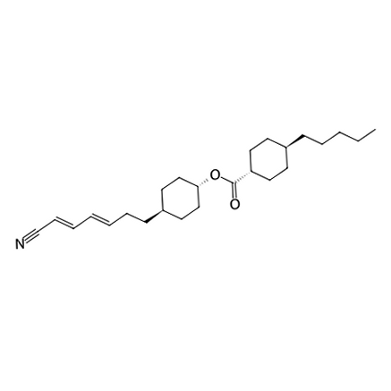 CCCCC[C@H]1CC[C@H](C(=O)O[C@H]2CC[C@H](CCC=CC=CC#N)CC2)CC1